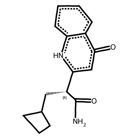 NC(=O)[C@H](CC1CCC1)c1cc(=O)c2ccccc2[nH]1